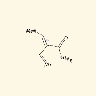 CN/C=C(\C=N)C(=O)NC